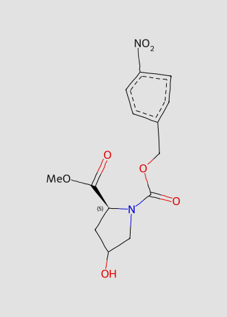 COC(=O)[C@@H]1CC(O)CN1C(=O)OCc1ccc([N+](=O)[O-])cc1